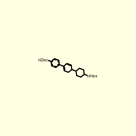 CCCCCCCCCCc1ccc(C2=CCC(C3CCC(CCCCCC)CC3)C=C2)cc1